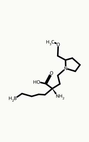 BCCCC[C@@](N)(CCN1CCCC1COC)C(=O)O